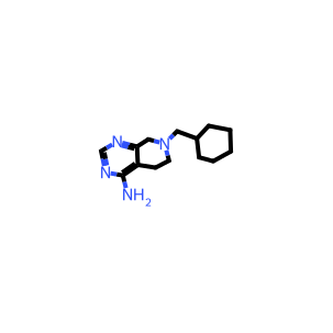 Nc1ncnc2c1CCN(CC1CCCCC1)C2